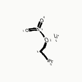 CC(C)CO[S-](=O)=O.[Li+]